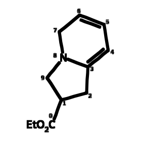 CCOC(=O)C1CC2=CC=CCN2C1